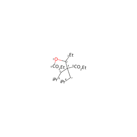 CCOC(=O)OC(CC)C(CC(C)C)(CC(C)C)C(=O)OCC